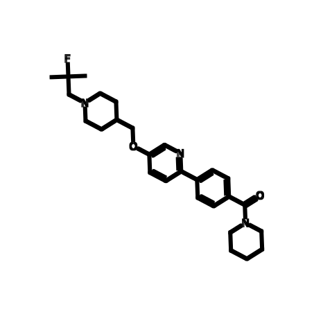 CC(C)(F)CN1CCC(COc2ccc(-c3ccc(C(=O)N4CCCCC4)cc3)nc2)CC1